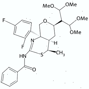 COC(OC)C(C(OC)OC)[C@H]1C[C@H]2[C@@H](C)SC(NC(=O)c3ccccc3)=N[C@@]2(c2ccc(F)cc2F)CO1